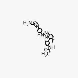 C=CC(=O)Nc1cccc(-c2c(F)ccc3cnc(Nc4ccc(N5CCOC(CN)C5)cc4)nc23)c1